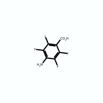 Nc1c(F)c(I)c(C(=O)O)c(I)c1F